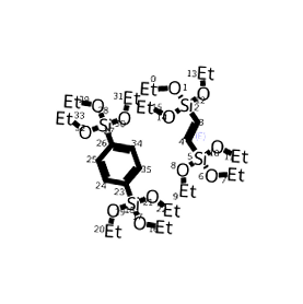 CCO[Si](/C=C/[Si](OCC)(OCC)OCC)(OCC)OCC.CCO[Si](OCC)(OCC)c1ccc([Si](OCC)(OCC)OCC)cc1